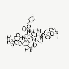 CC(C)N(C(=O)c1cc2c(cc1C(F)(F)F)OC(C)(C)C(=O)N2CCNC(=O)OCc1ccccc1)C1CCCN(OC(=O)C(C)(C)C)C1